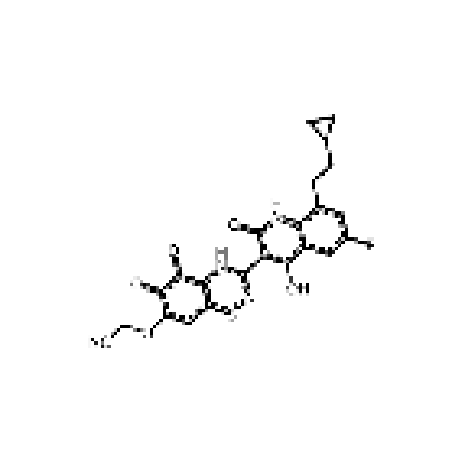 N#CCOc1cc2snc(-c3c(O)c4cc(F)cc(CCC5CC5)c4[nH]c3=O)[nH]c=2c(=O)c1=O